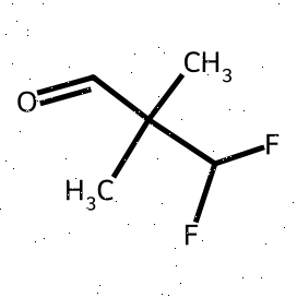 CC(C)(C=O)C(F)F